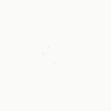 Cl.NCC1(O)CS(=O)(=O)C1